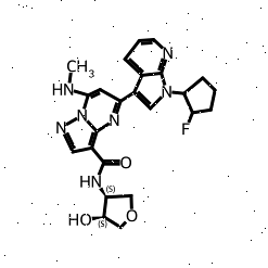 CNc1cc(-c2cn(C3CCCC3F)c3ncccc23)nc2c(C(=O)N[C@H]3COC[C@H]3O)cnn12